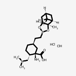 CN(C)C[C@@H]1CC[C@@H](CCB2O[C@H]3C[C@H]4C[C@H](C4(C)C)[C@@]3(C)O2)C[C@]1(N)C(=O)O.Cl.Cl